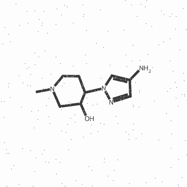 CN1CCC(n2cc(N)cn2)C(O)C1